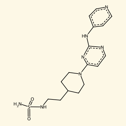 NS(=O)(=O)NCCC1CCN(c2ccnc(Nc3ccncc3)n2)CC1